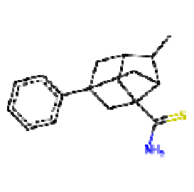 CC1C2CC3(c4ccccc4)CC1C(C(N)=S)(C2)C3